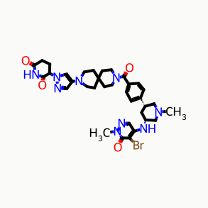 CN1C[C@H](Nc2cnn(C)c(=O)c2Br)C[C@H](c2ccc(C(=O)N3CCC4(CC3)CCN(c3cnn(C5CCC(=O)NC5=O)c3)CC4)cc2)C1